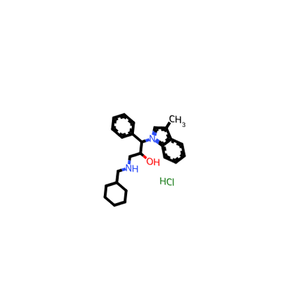 Cc1cn(C(c2ccccc2)C(O)CNCC2CCCCC2)c2ccccc12.Cl